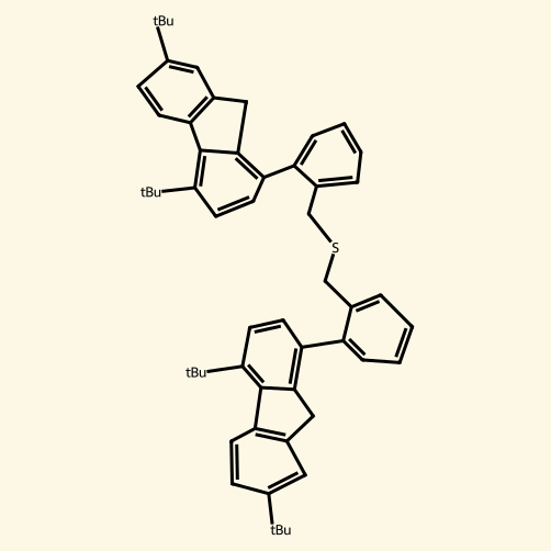 CC(C)(C)c1ccc2c(c1)Cc1c(-c3ccccc3CSCc3ccccc3-c3ccc(C(C)(C)C)c4c3Cc3cc(C(C)(C)C)ccc3-4)ccc(C(C)(C)C)c1-2